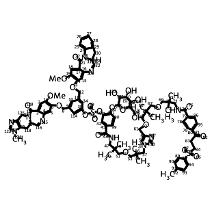 COc1cc2c(cc1OCc1cc(COc3cc4c(cc3OC)C(=O)N3c5ccccc5C[C@H]3C=N4)cc(OS(=O)(=O)Oc3cc(C(=O)NCC(C)(C)COCC(C)(C)Cn4cc(COCC(C)(C)COCC(C)(C)CNC(=O)c5ccc(C(=O)CCS(=O)(=O)c6ccc(C)cc6)cc5)nn4)ccc3O[C@@H]3OC(CO)[C@H](O)[C@H](O)[C@H]3O)c1)N=CC1Cc3c(ncn3C)CN1C2=O